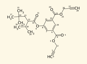 C#CCOC(=O)c1cc(OC(=O)C(CC(C)(C)C)C(C)C)cc(C(=O)OCC#C)c1